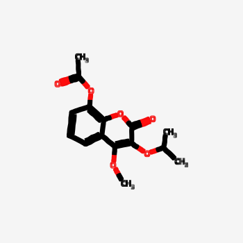 COc1c(OC(C)C)c(=O)oc2c(OC(C)=O)cccc12